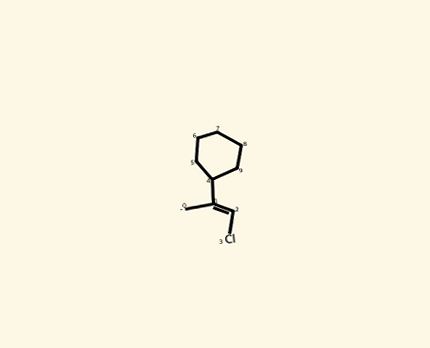 [CH2]C(=CCl)C1CCCCC1